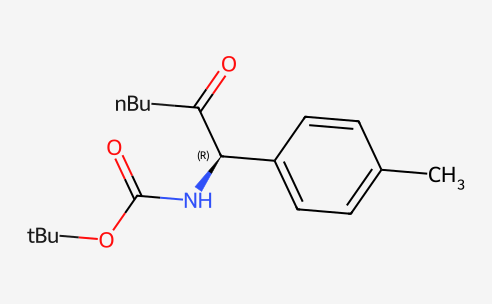 CCCCC(=O)[C@H](NC(=O)OC(C)(C)C)c1ccc(C)cc1